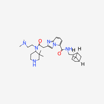 CN(C)CCN(C(=O)Cc1cn2c(C(=O)NC[C@@H]3CC[C@@H]4C[C@H]3C4(C)C)cccc2n1)C1CCNCC1(C)C